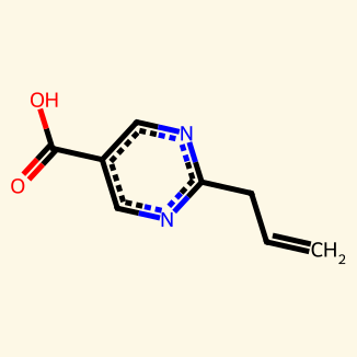 C=CCc1ncc(C(=O)O)cn1